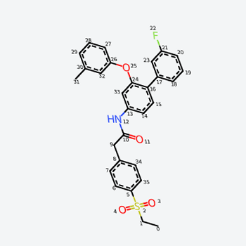 CCS(=O)(=O)c1ccc(CC(=O)Nc2ccc(-c3cccc(F)c3)c(Oc3cccc(C)c3)c2)cc1